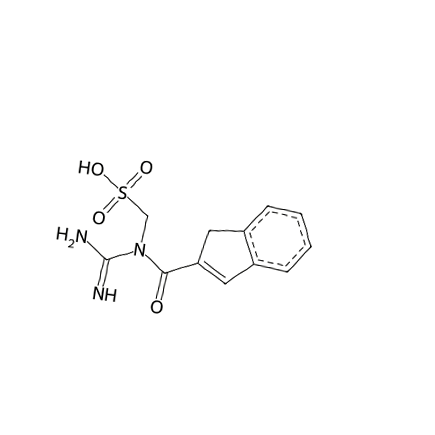 N=C(N)N(CS(=O)(=O)O)C(=O)C1=Cc2ccccc2C1